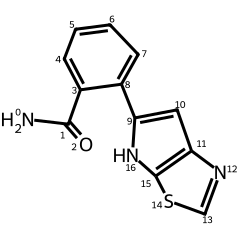 NC(=O)c1ccccc1-c1cc2ncsc2[nH]1